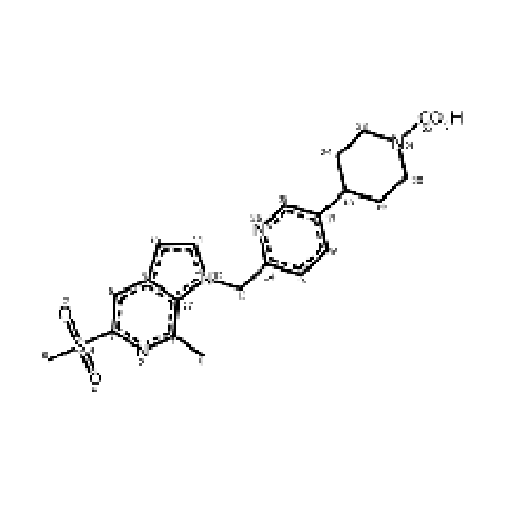 Cc1nc(S(C)(=O)=O)cc2ccn(Cc3ccc(C4CCN(C(=O)O)CC4)cn3)c12